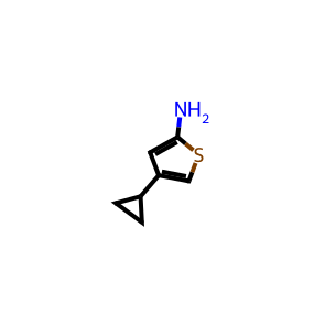 Nc1cc(C2CC2)cs1